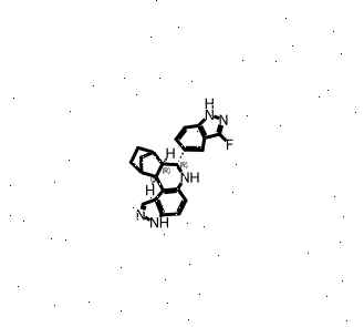 Fc1n[nH]c2ccc([C@@H]3Nc4ccc5[nH]ncc5c4[C@H]4C5CCC(C5)[C@@H]34)cc12